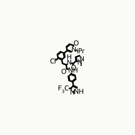 CC(C)n1cc(-c2ccc(Cl)c(CC(NC(=O)c3ccnn3C)C(=O)Nc3ccc(-c4c[nH]nc4C(F)(F)F)cc3)c2)ccc1=O